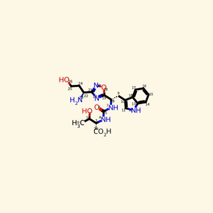 CC(O)[C@H](NC(=O)N[C@@H](Cc1c[nH]c2ccccc12)c1nc([C@@H](N)CCO)no1)C(=O)O